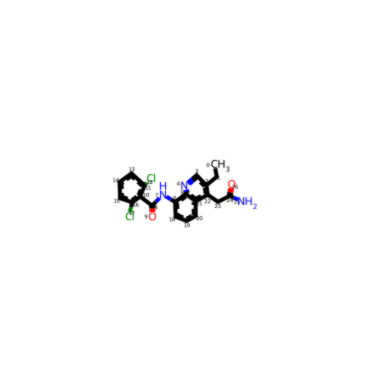 CCc1cnc2c(NC(=O)c3c(Cl)cccc3Cl)cccc2c1CC(N)=O